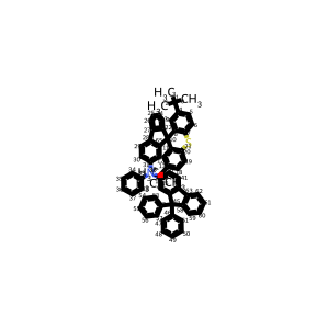 CC(C)(C)c1ccc2c(c1)C1(c3cc(C(C)(C)C)ccc3S2)c2ccccc2-c2ccc(N(c3ccccc3)c3ccc4c(c3)C(c3ccccc3)(c3ccccc3)c3ccccc3-4)cc21